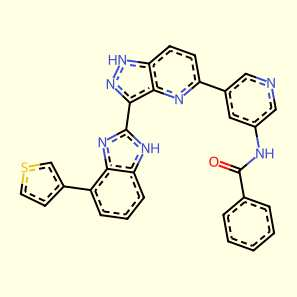 O=C(Nc1cncc(-c2ccc3[nH]nc(-c4nc5c(-c6ccsc6)cccc5[nH]4)c3n2)c1)c1ccccc1